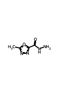 Cc1nnc(C(=O)NN)o1